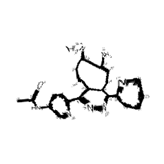 CC(=O)Nc1ccc(C2=NN=C(c3ccccn3)C3CCC(N)C(N)CCC23)nc1